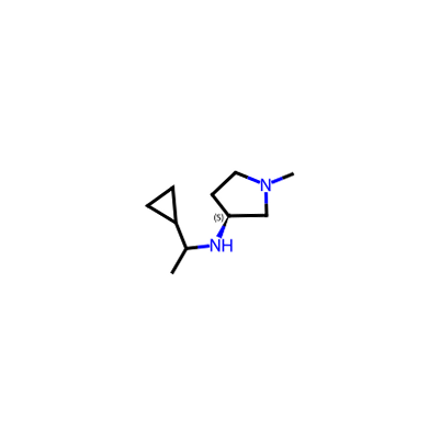 CC(N[C@H]1CCN(C)C1)C1CC1